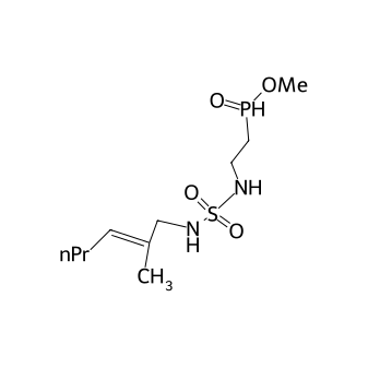 CCC/C=C(\C)CNS(=O)(=O)NCC[PH](=O)OC